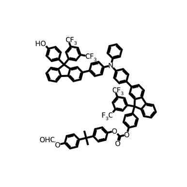 CC(C)(c1ccc(OC=O)cc1)c1ccc(OC(=O)Oc2ccc(C3(c4cc(C(F)(F)F)cc(C(F)(F)F)c4)c4ccccc4-c4ccc(-c5ccc(N(c6ccccc6)c6ccc(-c7ccc8c(c7)C(c7ccc(O)cc7)(c7cc(C(F)(F)F)cc(C(F)(F)F)c7)c7ccccc7-8)cc6)cc5)cc43)cc2)cc1